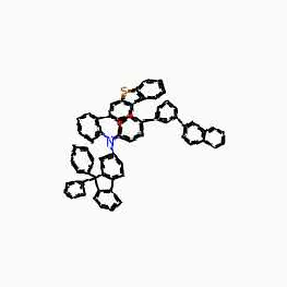 c1ccc(C2(c3ccccc3)c3ccccc3-c3ccc(N(c4ccc(-c5cccc(-c6ccc7ccccc7c6)c5)cc4)c4ccccc4-c4ccc5c(c4)sc4ccccc45)cc32)cc1